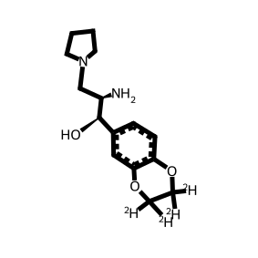 [2H]C1([2H])Oc2ccc([C@@H](O)[C@H](N)CN3CCCC3)cc2OC1([2H])[2H]